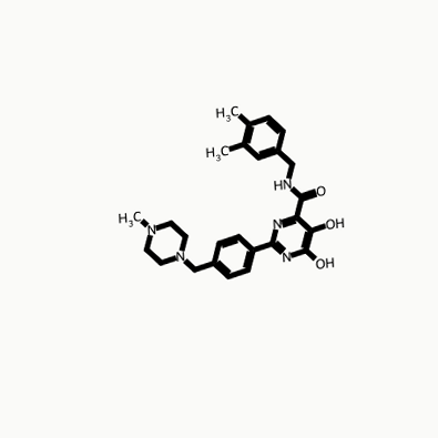 Cc1ccc(CNC(=O)c2nc(-c3ccc(CN4CCN(C)CC4)cc3)nc(O)c2O)cc1C